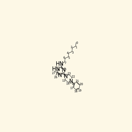 CCCCCCCCNC1=NC(N2CCN(c3ccccc3)CC2)=NC(C)(C)N1